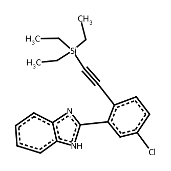 CC[Si](C#Cc1ccc(Cl)cc1-c1nc2ccccc2[nH]1)(CC)CC